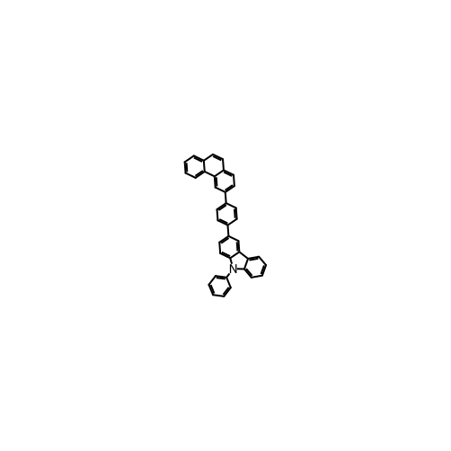 c1ccc(-n2c3ccccc3c3cc(-c4ccc(-c5ccc6ccc7ccccc7c6c5)cc4)ccc32)cc1